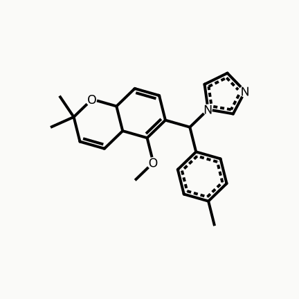 COC1=C(C(c2ccc(C)cc2)n2ccnc2)C=CC2OC(C)(C)C=CC12